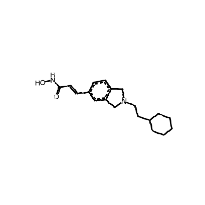 O=C(C=Cc1ccc2c(c1)CN(CCC1CCCCC1)C2)NO